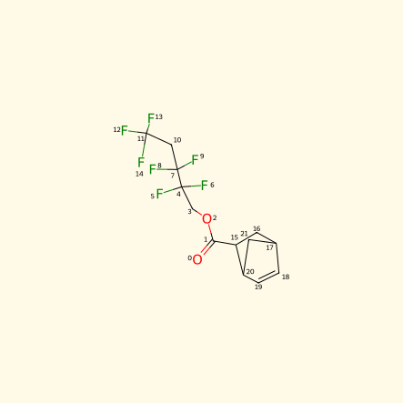 O=C(OCC(F)(F)C(F)(F)CC(F)(F)F)C1CC2C=CC1C2